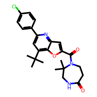 CC(C)(C)c1cc(-c2ccc(Cl)cc2)nc2cc(C(=O)N3CCC(=O)NCC3(C)C)oc12